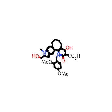 COc1ccc(Cn2c3c(c(O)c(C(=O)O)c2=O)CCCCc2cc4c(cc2-3)cc(CO)n4C)c(OC)c1